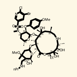 CCCNC[C@]1(O)[C@H](C)OC(O[C@H]2[C@H](C)[C@@H](O[C@@H]3O[C@H](C)C[C@H](N(C)S(=O)(=O)c4cnc(Cl)c(Br)c4)[C@H]3Oc3ccc(OC)cc3)[C@](C)(O)C[C@@H](C)CN[C@H](C)[C@@H](O)[C@](C)(O)[C@@H](CC)OC(=O)[C@@H]2C)C[C@@]1(C)OC